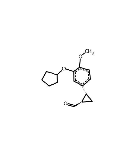 COc1ccc([C@@H]2C[C@H]2C=O)cc1OC1CCCC1